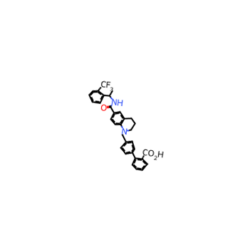 CC(NC(=O)c1ccc2c(c1)CCCN2Cc1ccc(-c2ccccc2C(=O)O)cc1)c1ccccc1C(F)(F)F